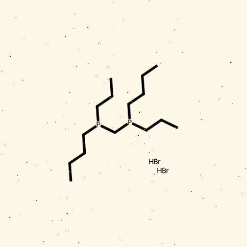 Br.Br.CCCCP(CCC)CP(CCC)CCCC